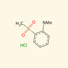 CNc1ccccc1S(C)(=O)=O.Cl